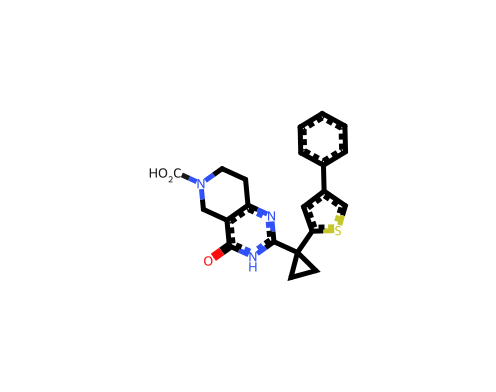 O=C(O)N1CCc2nc(C3(c4cc(-c5ccccc5)cs4)CC3)[nH]c(=O)c2C1